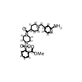 COC(=O)c1ccccc1S(=O)(=O)N1CCN(C(=O)C2CCN(Cc3ccnc(N)c3)CC2)CC1